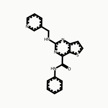 O=C(Nc1ccccc1)c1nc(NCc2cccnc2)nc2ccsc12